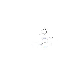 Cc1nc(N2CCN(C)CC2)c2nc(-c3ccccc3Cl)n(C(C)(C)CO)c2n1